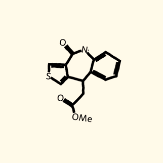 COC(=O)CC1c2ccccc2[N]C(=O)c2cscc21